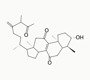 C=C(CC[C@@H](C)C1CCC2C3=C(C(=O)C[C@@]21C)[C@@]1(C)CC[C@H](O)[C@@H](C)C1CC3=O)C(C)C(C)=O